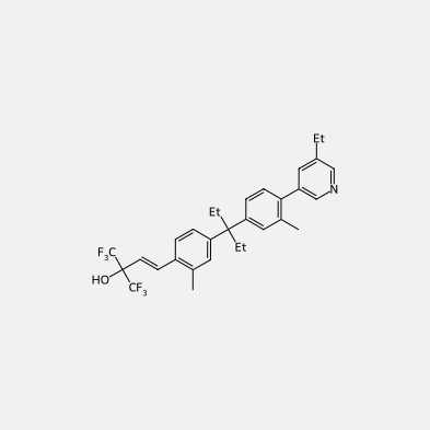 CCc1cncc(-c2ccc(C(CC)(CC)c3ccc(/C=C/C(O)(C(F)(F)F)C(F)(F)F)c(C)c3)cc2C)c1